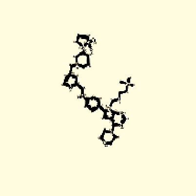 C[Si](C)(C)CCOCn1c(-c2ccc(NCc3cc(CN4CCC[C@@H](N5CC=CS5(=O)=O)C4)ccn3)cc2)cc2c(N3CCOCC3)ncnc21